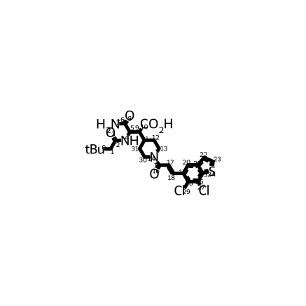 CC(C)(C)CC(=O)NC(C(N)=O)C(C(=O)O)C1CCN(C(=O)C=Cc2cc3ccsc3c(Cl)c2Cl)CC1